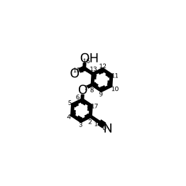 N#Cc1cccc(Oc2ccccc2C(=O)O)c1